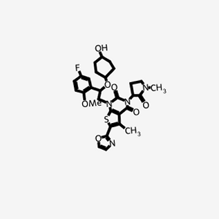 COc1ccc(F)cc1C(Cn1c(=O)n(C2CCN(C)C2=O)c(=O)c2c(C)c(-c3ncco3)sc21)OC1CCC(O)CC1